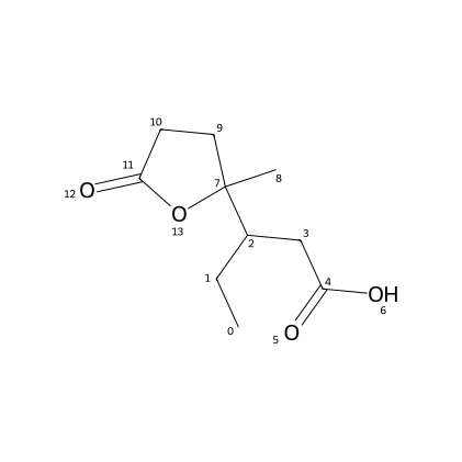 CCC(CC(=O)O)C1(C)CCC(=O)O1